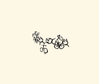 COC(=O)C(C)(C)C(c1cc(CN2CC3(CC3)Oc3ncc(C)cc3S2(=O)=O)c(C)cn1)c1ccn2c(C(F)(F)F)nnc2c1C